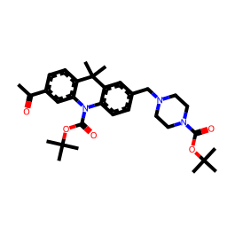 CC(=O)c1ccc2c(c1)N(C(=O)OC(C)(C)C)c1ccc(CN3CCN(C(=O)OC(C)(C)C)CC3)cc1C2(C)C